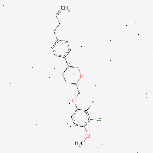 C=CCCc1ccc(C2CCC(COc3ccc(OC)c(F)c3F)OC2)cc1